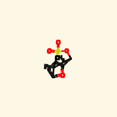 CC(C)C1(C)c2cc3c(o2)C1OS3(=O)=O